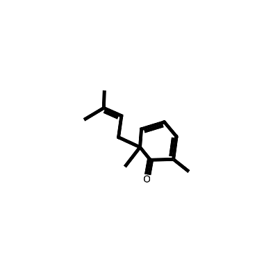 CC(C)=CCC1(C)C=CC=C(C)C1=O